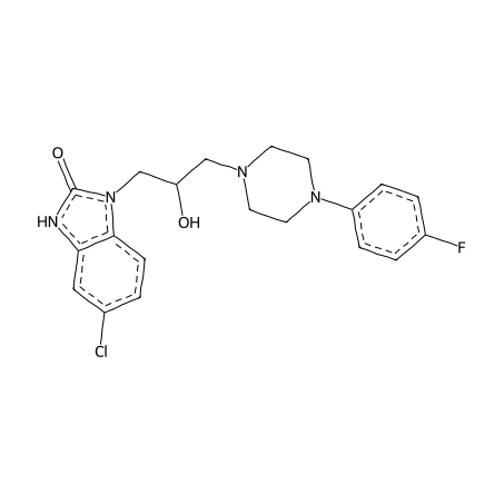 O=c1[nH]c2cc(Cl)ccc2n1CC(O)CN1CCN(c2ccc(F)cc2)CC1